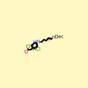 CCCCCCCCCC/C=C/CCCNc1ccc(CC(=O)Cl)cc1.Cl